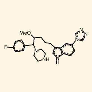 COC(CCCc1c[nH]c2ccc(-n3cnnc3)cc12)C(c1ccc(F)cc1)N1CCNCC1